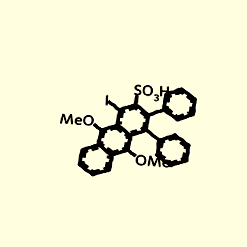 COc1c2ccccc2c(OC)c2c(-c3ccccc3)c(-c3ccccc3)c(S(=O)(=O)O)c(I)c12